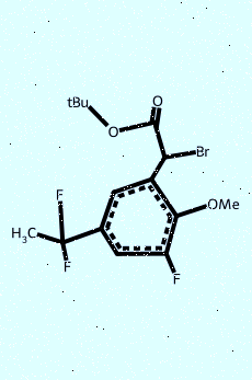 COc1c(F)cc(C(C)(F)F)cc1C(Br)C(=O)OC(C)(C)C